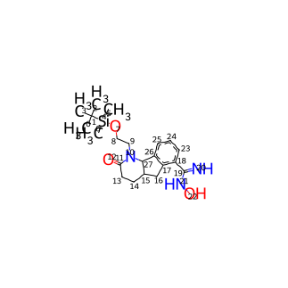 CC(C)(C)[Si](C)(C)OCCN1C(=O)CCC2Cc3c(C(=N)NO)cccc3C21